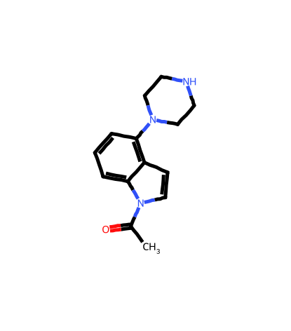 CC(=O)n1ccc2c(N3CCNCC3)cccc21